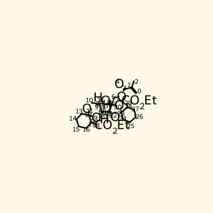 C=C(C)C(=O)OC[C@]12O[C@@H]3COC4(CCCCC4C(=O)OCC)O[C@H]3[C@@H]1OC1(CCCCC1C(=O)OCC)O2